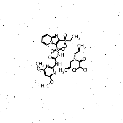 C=CCN(CC=C)C(=O)C(Cl)Cl.CCS(=O)(=O)c1nc2ccccn2c1S(=O)(=O)NC(=O)Nc1nc(OC)cc(OC)n1